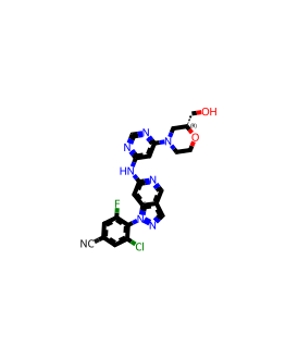 N#Cc1cc(F)c(-n2ncc3cnc(Nc4cc(N5CCO[C@@H](CO)C5)ncn4)cc32)c(Cl)c1